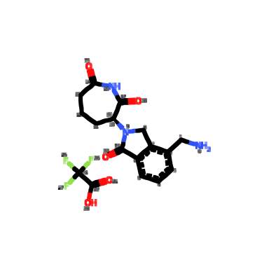 NCc1cccc2c1CN([C@H]1CCCC(=O)NC1=O)C2=O.O=C(O)C(F)(F)F